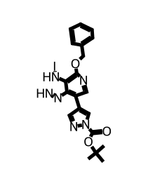 CC(C)(C)OC(=O)n1cc(-c2cnc(OCc3ccccc3)c(NI)c2N=N)cn1